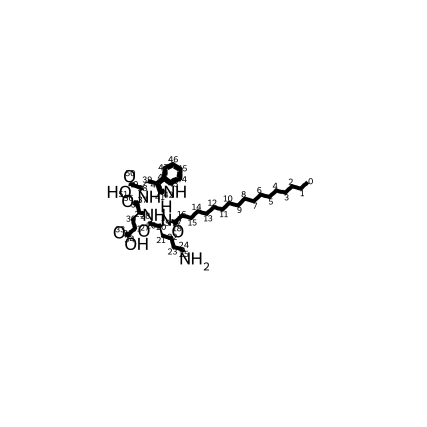 CCCCCCCCCCCCCCCCCC(=O)N[C@@H](CCCCN)C(=O)N[C@@H](CCC(=O)O)C(=O)N[C@@H](Cc1c[nH]c2ccccc12)C(=O)O